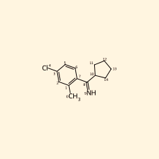 Cc1cc(Cl)ccc1C(=N)C1CCCC1